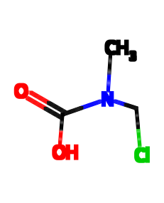 CN(CCl)C(=O)O